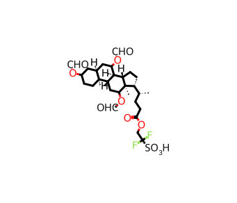 C[C@H](CCC(=O)OCC(F)(F)S(=O)(=O)O)[C@H]1CC[C@H]2[C@@H]3C(OC=O)C[C@@H]4CC(OC=O)CC[C@]4(C)[C@H]3CC(OC=O)[C@]12C